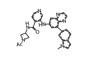 CC(=O)N1CC(NC(=O)c2ccncc2Nc2cc(-c3ccc4ccn(C)c4c3)c3nccnc3c2)C1